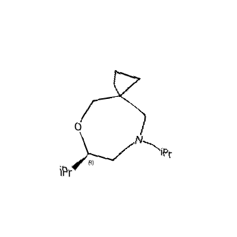 CC(C)[C@@H]1CN(C(C)C)CC2(CC2)CO1